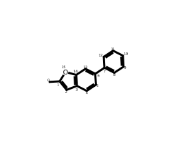 Cc1cc2ccc(-c3ccccc3)cc2o1